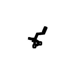 C=CC[Si]1(C)OO1